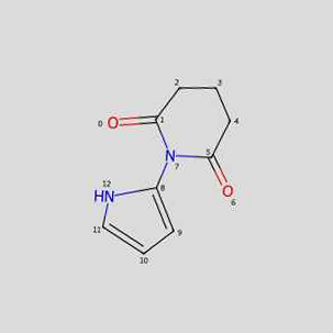 O=C1CCCC(=O)N1c1ccc[nH]1